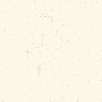 C/C=C1/CCC2C([C@@H](O)C[C@@]3(C)C2CC[C@@H]3O)[C@@]1(C)CCC=O